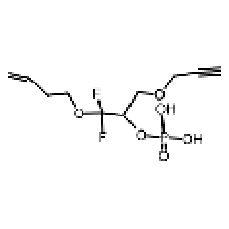 C#CCOCC(OP(=O)(O)O)C(F)(F)OCCC=C